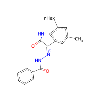 CCCCCCc1cc(C)cc2c1NC(=O)/C2=N\NC(=O)c1ccccc1